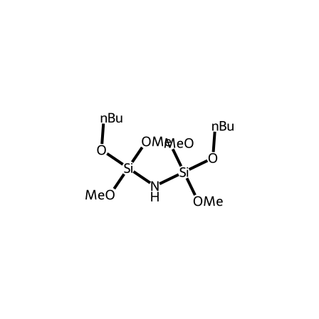 CCCCO[Si](N[Si](OC)(OC)OCCCC)(OC)OC